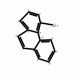 [Li][c]1cccc2ccc3ccccc3c12